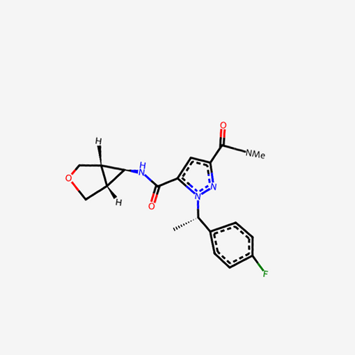 CNC(=O)c1cc(C(=O)N[C@H]2[C@@H]3COC[C@@H]32)n([C@@H](C)c2ccc(F)cc2)n1